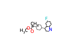 COC(=O)[C@H](C)C1CCC(c2ccnc3ccc(F)cc23)CC1